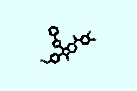 CC(C)Oc1ccc(-n2c(-c3ncc(-c4ccccc4)o3)c3n(c2=O)CCN(C(=O)c2ccc(Br)c(Cl)c2)C3)cc1